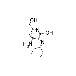 CCC(CC)=Nc1c(N)nc(CO)nc1O